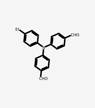 CCc1ccc(N(c2ccc(C=O)cc2)c2ccc(C=O)cc2)cc1